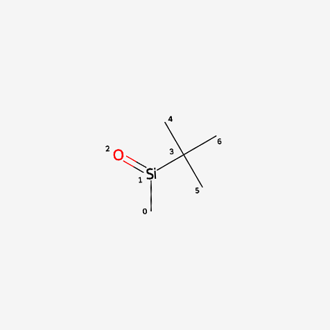 C[Si](=O)C(C)(C)C